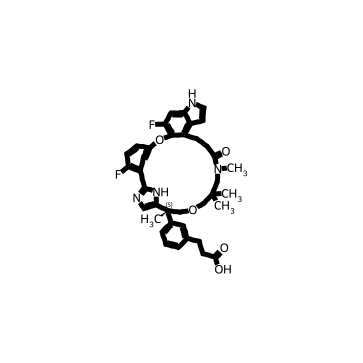 CN1CC(C)(C)COC[C@@](C)(c2cccc(CCC(=O)O)c2)c2cnc([nH]2)-c2cc(ccc2F)Oc2c(F)cc3[nH]ccc3c2CCC1=O